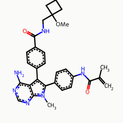 C=C(C)C(=O)Nc1ccc(-c2c(-c3ccc(C(=O)NCC4(OC)CCC4)cc3)c3c(N)ncnc3n2C)cc1